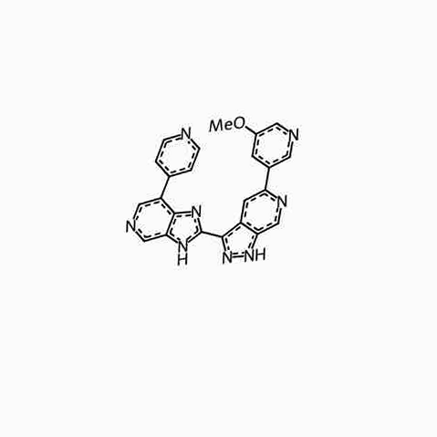 COc1cncc(-c2cc3c(-c4nc5c(-c6ccncc6)cncc5[nH]4)n[nH]c3cn2)c1